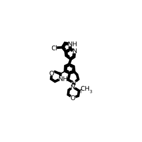 C[C@@H]1COCCN1N1CCc2cc(-c3cnc4[nH]cc(Cl)c4c3)cc([C@@H]3COCCN3)c2C1